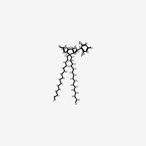 CCCCCCCCCCCCCCCCC1(CCCCCCCCCCCCCCCC)c2cc(C)sc2-c2sc(-c3c(F)cc(C)cc3F)cc21